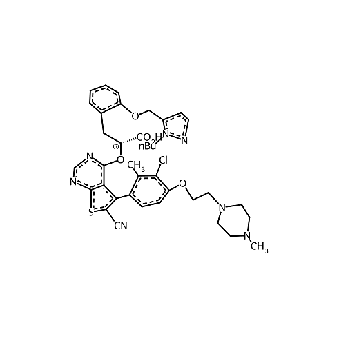 CCCCn1nccc1COc1ccccc1C[C@@H](Oc1ncnc2sc(C#N)c(-c3ccc(OCCN4CCN(C)CC4)c(Cl)c3C)c12)C(=O)O